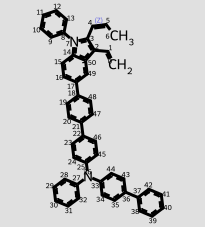 C=Cc1c(/C=C\C)n(-c2ccccc2)c2ccc(-c3ccc(-c4ccc(N(c5ccccc5)c5ccc(-c6ccccc6)cc5)cc4)cc3)cc12